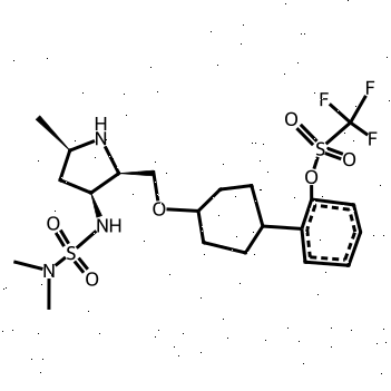 C[C@@H]1C[C@H](NS(=O)(=O)N(C)C)[C@H](COC2CCC(c3ccccc3OS(=O)(=O)C(F)(F)F)CC2)N1